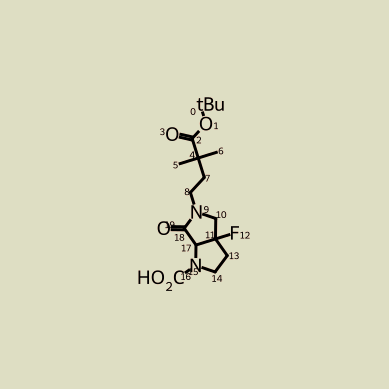 CC(C)(C)OC(=O)C(C)(C)CCN1CC2(F)CCN(C(=O)O)C2C1=O